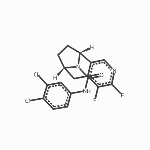 O=C(Nc1ccc(Cl)c(Cl)c1)N1[C@H]2CC[C@@H]1c1cnc(F)c(F)c1C2